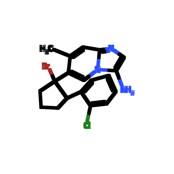 Cc1cc2ncc(N)n2cc1C1(Br)CCCC1c1ccccc1Cl